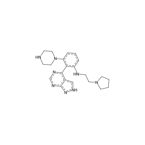 c1cc(NCCN2CCCC2)c(-c2ncnc3n[nH]cc23)c(N2CCNCC2)c1